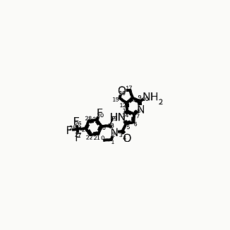 CCN(C(=O)c1cc2nc(N)c3c(c2[nH]1)COC3)[C@H](C)c1ccc(C(F)(F)F)cc1F